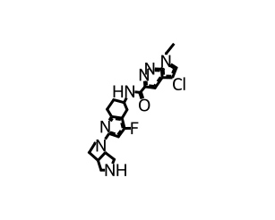 CCn1cc(Cl)c2cc(C(=O)NC3CCc4nc(N5CCC6CNCC65)cc(F)c4C3)nnc21